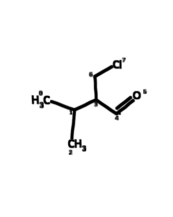 CC(C)C([C]=O)CCl